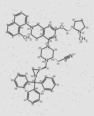 Cc1cccc2cccc(N3CCc4c(nc(OC[C@@H]5CCCN5C)nc4N4CCN(C[C@@H]5CN5C(c5ccccc5)(c5ccccc5)c5ccccc5)[C@@H](CC#N)C4)C3)c12